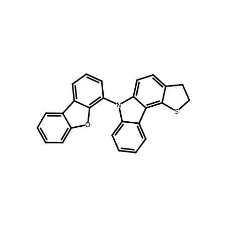 c1ccc2c(c1)oc1c(-n3c4ccccc4c4c5c(ccc43)CCS5)cccc12